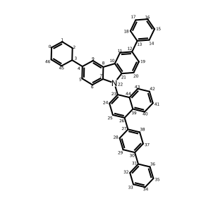 C1=CCC(c2ccc3c(c2)c2cc(-c4ccccc4)ccc2n3-c2ccc(-c3ccc(-c4ccccc4)cc3)c3ccccc23)C=C1